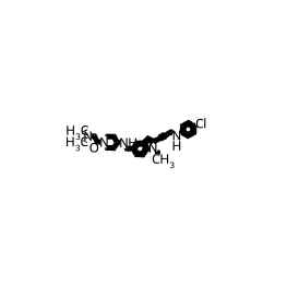 CCn1c(C#CCNc2ccc(Cl)cc2)cc2cc(CNC3CCN(C(=O)CN(C)C)CC3)ccc21